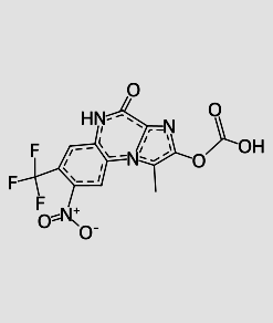 Cc1c(OC(=O)O)nc2c(=O)[nH]c3cc(C(F)(F)F)c([N+](=O)[O-])cc3n12